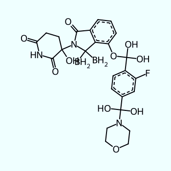 BC1(B)c2c(OC(O)(O)c3ccc(C(O)(O)N4CCOCC4)cc3F)cccc2C(=O)N1C1(O)CCC(=O)NC1=O